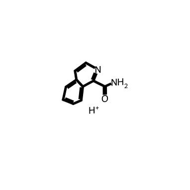 NC(=O)c1nccc2ccccc12.[H+]